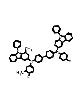 CC1CC(N(C2=Cc3c(n(-c4ccccc4)c4ccccc34)C(C)C2)c2ccc(C3C=CC(N(c4ccc(F)cc4)c4ccc5c(c4)c4ccc#cc4n5-c4ccccc4)=CC3)cc2)=CC=C1F